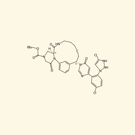 CC(C)(C)OC(=O)N1CC(=O)N2c3cccc(c3)[C@@H](n3cnc(-c4cc(Cl)ccc4N4C=C(Cl)NN4)cc3=O)CCCCCNC(=O)[C@@H]2C1